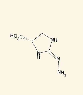 NN=C1NC[C@@H](C(=O)O)N1